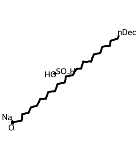 CCCCCCCCCCCCCCCCCCCCCCCCCCCCCCCCC[C](=O)[Na].O=S(=O)(O)O